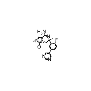 Cn1cc2n(c1=O)C[C@@](C)(c1cc(-c3cncnc3)ccc1F)N=C2N